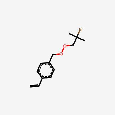 C=Cc1ccc(COOCC(C)(C)Br)cc1